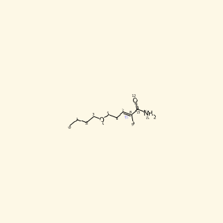 CCCCOCC/C=C(\C)C(N)=O